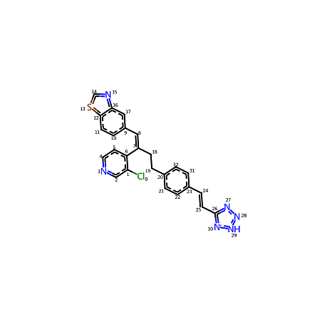 Clc1cnccc1C(=Cc1ccc2scnc2c1)CCc1ccc(/C=C/c2nn[nH]n2)cc1